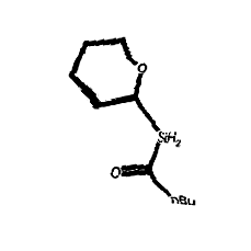 CCCCC(=O)[SiH2]C1CCCCO1